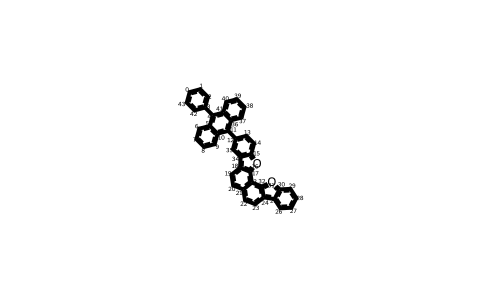 c1ccc(-c2c3ccccc3c(-c3ccc4oc5c(ccc6ccc7c8ccccc8oc7c65)c4c3)c3ccccc23)cc1